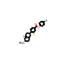 CCc1ccc(OC(=O)c2ccc(C3CC[C@H]4C[C@@H](C)CC[C@@H]4C3)c(F)c2)cc1